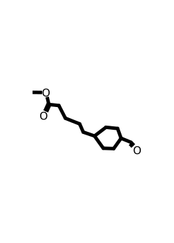 COC(=O)CCCCC1CCC(C=O)CC1